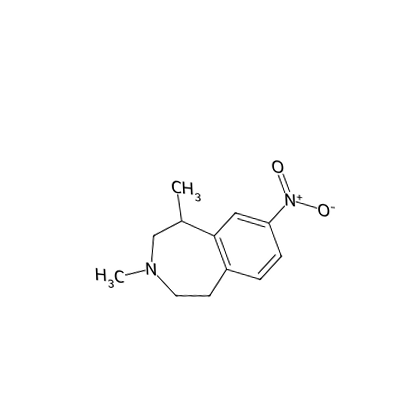 CC1CN(C)CCc2ccc([N+](=O)[O-])cc21